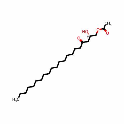 CCCCCCCCCCCCCCCCCC(=O)C[C@H](O)COC(C)=O